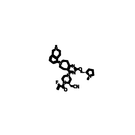 C=C(F)C(=O)N1CCN(c2nc(OC[C@@H]3CCCN3C)nc3c2CCN(c2cccc4c2CCN(C)C4)CC3)C[C@@H]1CC#N